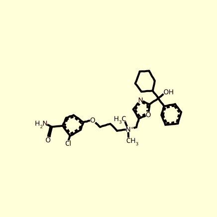 C[N+](C)(CCCOc1ccc(C(N)=O)c(Cl)c1)Cc1cnc(C(O)(c2ccccc2)C2CCCCC2)o1